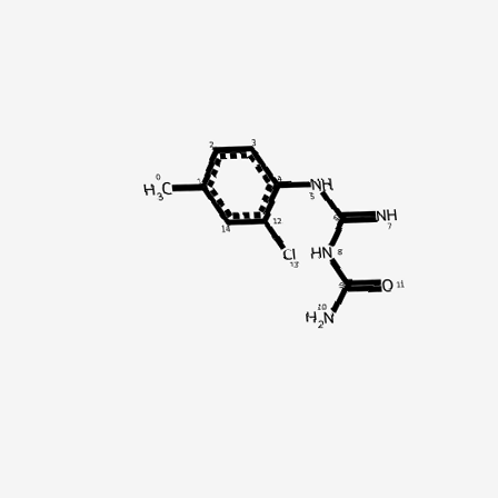 Cc1ccc(NC(=N)NC(N)=O)c(Cl)c1